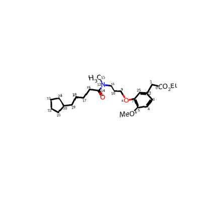 CCOC(=O)Cc1ccc(OC)c(OCCCN(C)C(=O)CCCCC2CCCC2)c1